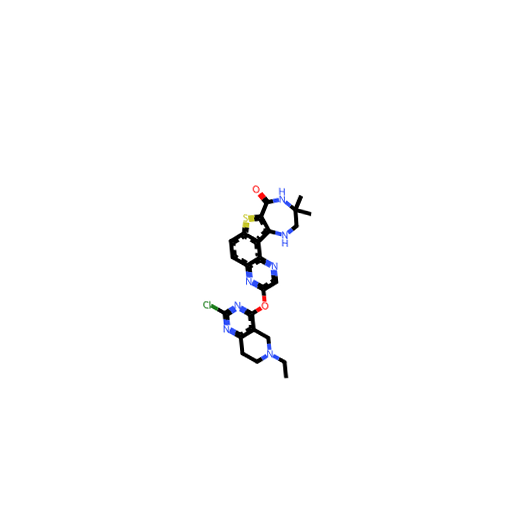 CCN1CCc2nc(Cl)nc(Oc3cnc4c(ccc5sc6c(c54)NCC(C)(C)NC6=O)n3)c2C1